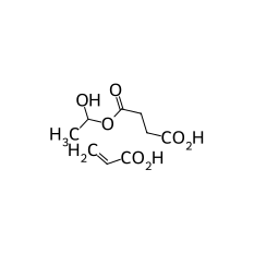 C=CC(=O)O.CC(O)OC(=O)CCC(=O)O